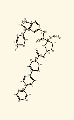 NSC1(C(=O)Nc2ccc3[nH]nc(-c4ccc(F)cc4)c3c2)CCN(CC(=O)N2CC=C(c3ccc(-c4ncccn4)cc3)CC2)C1